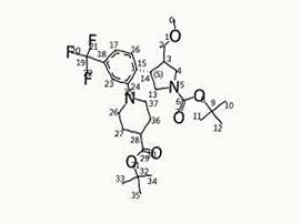 COCC1CN(C(=O)OC(C)(C)C)C[C@@H]1c1ccc(C(F)(F)F)cc1N1CCC(C(=O)OC(C)(C)C)CC1